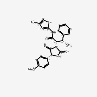 COc1ccc([C@H]2NC(=O)N([C@H](C(=O)Nc3nc(C(C)=O)cs3)[C@@H](C)c3ccccc3)C2=O)cc1